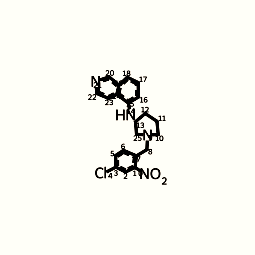 O=[N+]([O-])c1cc(Cl)ccc1CN1CCCC(Nc2cccc3cnccc23)C1